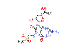 CCC(O)[C@@H]1C[C@@H](O)[C@H](n2c(=O)n(CCS(C)(=O)=O)c3c(=O)[nH]c(N)nc32)O1